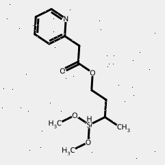 CO[SiH](OC)C(C)CCOC(=O)Cc1ccccn1